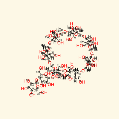 OC[C@H]1O[C@@H]2O[C@H]3[C@H](O)[C@@H](O)[C@@H](O[C@H]4[C@H](O)[C@@H](O)[C@@H](O[C@H]5[C@H](O)[C@@H](O)[C@@H](O[C@H]6[C@H](O)[C@@H](O)[C@@H](O[C@H]7[C@H](O)[C@@H](O)[C@@H](O[C@H]8[C@H](O)[C@@H](O)[C@@H](O[C@H]1[C@H](O)[C@H]2O)O[C@@H]8CO)O[C@@H]7CO)O[C@@H]6CO)O[C@@H]5CO)O[C@@H]4CO)O[C@@H]3CO.OC[C@H]1O[C@H](O[C@H]2[C@H](O)[C@@H](O)[C@@H](O)O[C@@H]2CO)[C@H](O)[C@@H](O)[C@@H]1O